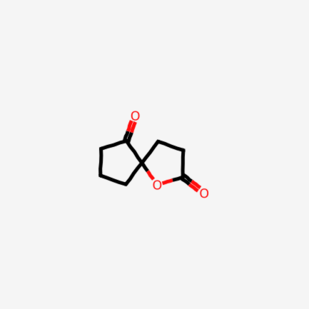 O=C1CCC2(CCCC2=O)O1